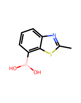 Cc1nc2cccc(B(O)O)c2s1